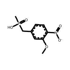 COc1cc(CP(C)(=O)O)ccc1[N+](=O)[O-]